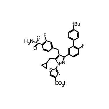 CC(C)(C)c1ccc(-c2cc(-c3nn(-c4nc(C(=O)O)cs4)c(CC4CC4)c3Cc3ccc(S(N)(=O)=O)c(F)c3)ccc2F)cc1